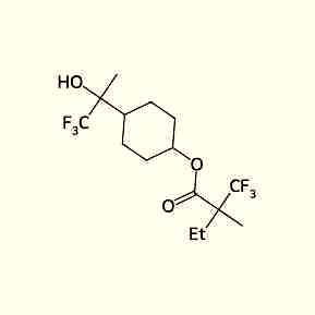 CCC(C)(C(=O)OC1CCC(C(C)(O)C(F)(F)F)CC1)C(F)(F)F